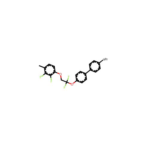 CCCc1ccc(-c2ccc(OC(F)(F)COc3ccc(C)c(F)c3F)cc2)cc1